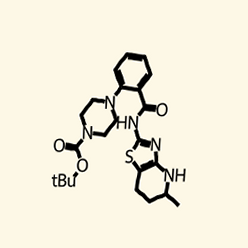 CC1CCc2sc(NC(=O)c3ccccc3N3CCN(C(=O)OC(C)(C)C)CC3)nc2N1